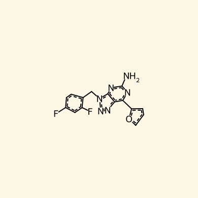 Nc1nc(-c2ccco2)c2nnn(Cc3ccc(F)cc3F)c2n1